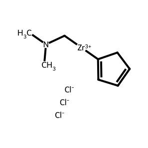 CN(C)[CH2][Zr+3][C]1=CC=CC1.[Cl-].[Cl-].[Cl-]